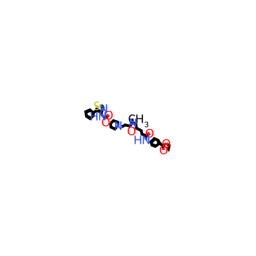 CN(CCCCC(=O)Nc1ccc(C2OCCO2)cc1)C(=O)CCN1CCC(OC(=O)Nc2ncsc2-c2ccccc2)CC1